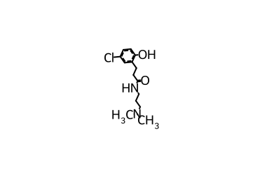 CN(C)CCCNC(=O)CCc1cc(Cl)ccc1O